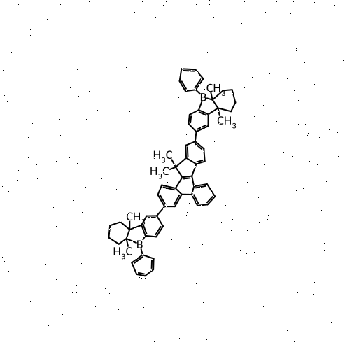 CC1(C)c2cc(-c3ccc4c(c3)C3(C)CCCCC3(C)B4c3ccccc3)ccc2-c2c1c1ccc(-c3ccc4c(c3)C3(C)CCCCC3(C)B4c3ccccc3)cc1c1ccccc21